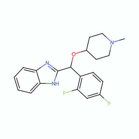 CN1CCC(OC(c2nc3ccccc3[nH]2)c2ccc(F)cc2F)CC1